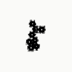 c1ccc(-c2cc(-c3cccc(-c4ccc5c(c4)C4(c6ccccc6-5)c5cccnc5-c5ncccc54)c3)nc(-c3ccccc3)n2)cc1